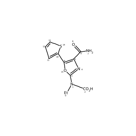 CCN(C(=O)O)c1nc(C(N)=O)c(-c2cccs2)o1